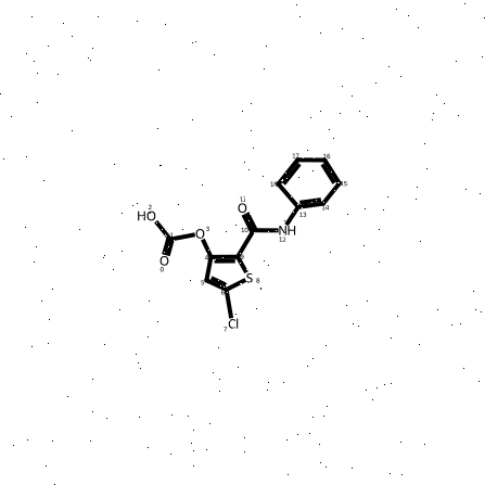 O=C(O)Oc1cc(Cl)sc1C(=O)Nc1ccccc1